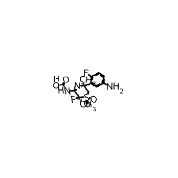 C[C@]1(F)C(NC(=O)O)=N[C@](C)(c2cc(N)ccc2F)CS1(=O)=O